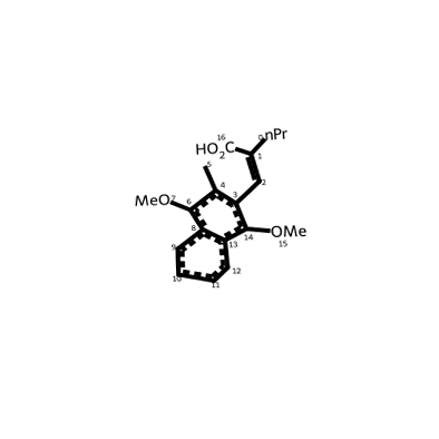 CCC/C(=C/c1c(C)c(OC)c2ccccc2c1OC)C(=O)O